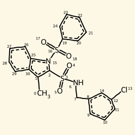 Cc1c(S(=O)(=O)NCc2cccc(Cl)c2)n(S(=O)(=O)c2ccccc2)c2ccccc12